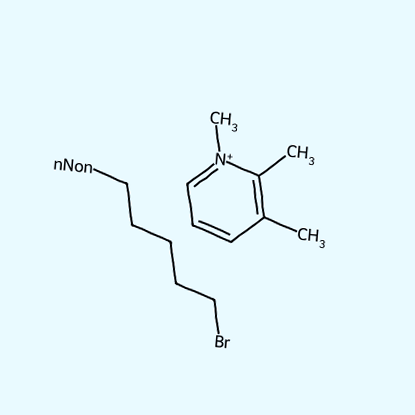 CCCCCCCCCCCCCCBr.Cc1ccc[n+](C)c1C